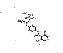 CC(C)(C)NS(=O)(=O)N[C@@H](Cc1ccc(NC(=O)c2c(Cl)cncc2Cl)cc1)C(=O)O